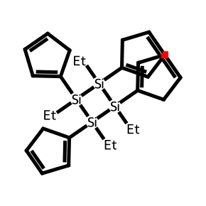 CC[Si]1(C2=CC=CC2)[Si](CC)(C2=CC=CC2)[Si](CC)(C2=CC=CC2)[Si]1(CC)C1=CC=CC1